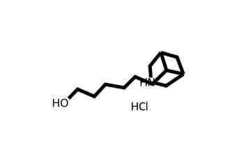 Cl.OCCCCCCC1C2CNCC1C2